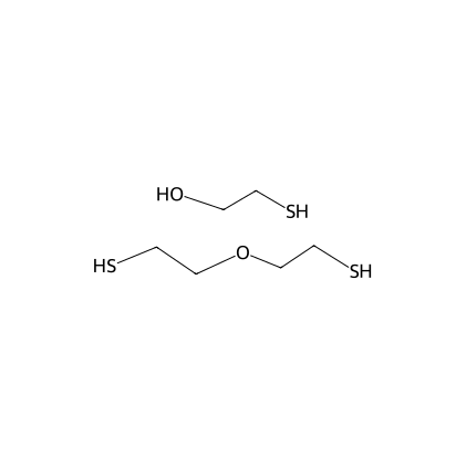 OCCS.SCCOCCS